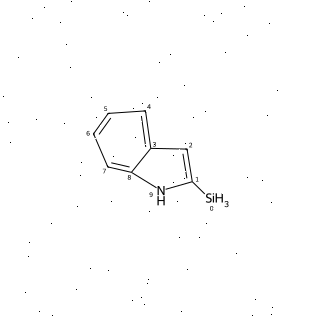 [SiH3]c1cc2ccccc2[nH]1